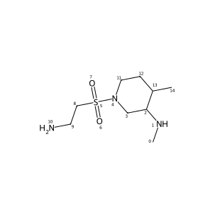 CNC1CN(S(=O)(=O)CCN)CCC1C